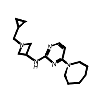 c1cc(N2CCCCCC2)nc(NC2CN(CC3CC3)C2)n1